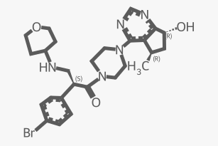 C[C@@H]1C[C@@H](O)c2ncnc(N3CCN(C(=O)[C@H](CNC4CCOCC4)c4ccc(Br)cc4)CC3)c21